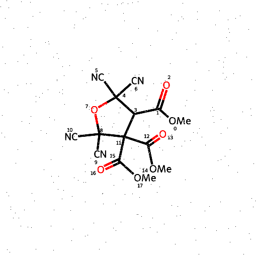 COC(=O)C1C(C#N)(C#N)OC(C#N)(C#N)C1(C(=O)OC)C(=O)OC